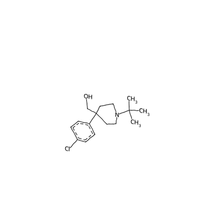 CC(C)(C)N1CCC(CO)(c2ccc(Cl)cc2)CC1